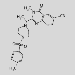 Cc1ccc(S(=O)(=O)N2CCN(C(C)c3nc4ccc(C#N)cc4c(=O)n3C)CC2)cc1